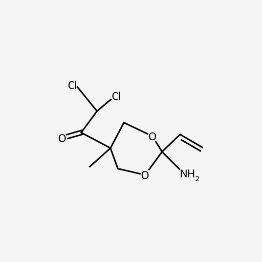 C=CC1(N)OCC(C)(C(=O)C(Cl)Cl)CO1